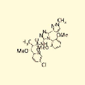 COc1cccc(OC)c1-n1c(NS(=O)(=O)[C@H](C)[C@@H](OC)c2ccc(Cl)cn2)nnc1-c1ccn(C)n1